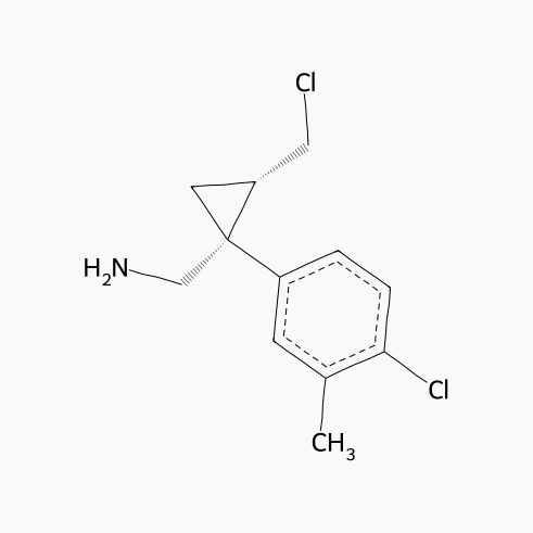 Cc1cc([C@@]2(CN)C[C@@H]2CCl)ccc1Cl